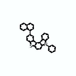 c1ccc(-n2c3ccccc3c3c4c(ccc32)sc2ccc(-c3cccc5ccccc35)cc24)cc1